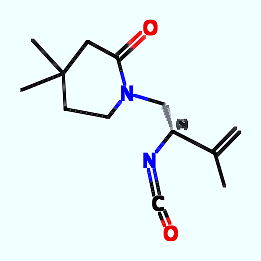 C=C(C)[C@@H](CN1CCC(C)(C)CC1=O)N=C=O